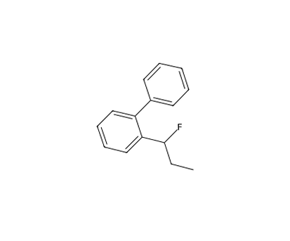 CCC(F)c1ccccc1-c1ccccc1